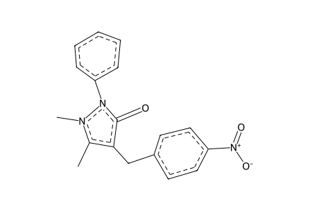 Cc1c(Cc2ccc([N+](=O)[O-])cc2)c(=O)n(-c2ccccc2)n1C